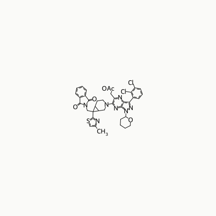 CC(=O)OCc1nc2c(-c3cccc(Cl)c3Cl)nn(C3CCCCO3)c2nc1N1CCC2C(C1)C2(CN1C(=O)c2ccccc2C1=O)c1nc(C)cs1